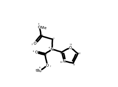 COC(=O)CN(C(=O)OC(C)(C)C)c1ncco1